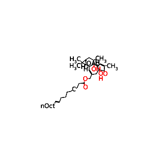 CCCCCCCCC=CCCCCCCCC(=O)OCC1=C[C@H]2[C@@H]3C(C)(C)[C@]3(OC(C)=O)C[C@@H](C)[C@]2(O)[C@@H]2C=C(C)C(=O)[C@@]2(O)C1